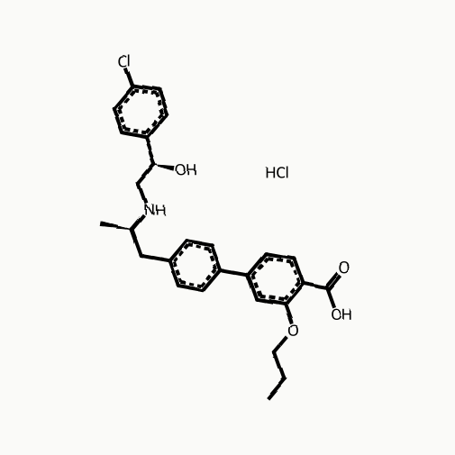 CCCOc1cc(-c2ccc(C[C@@H](C)NC[C@H](O)c3ccc(Cl)cc3)cc2)ccc1C(=O)O.Cl